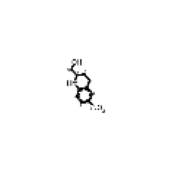 O=[N+]([O-])c1ccc2c(c1)CCC(CO)N2